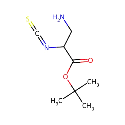 CC(C)(C)OC(=O)C(CN)N=C=S